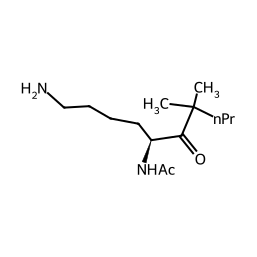 CCCC(C)(C)C(=O)[C@H](CCCCN)NC(C)=O